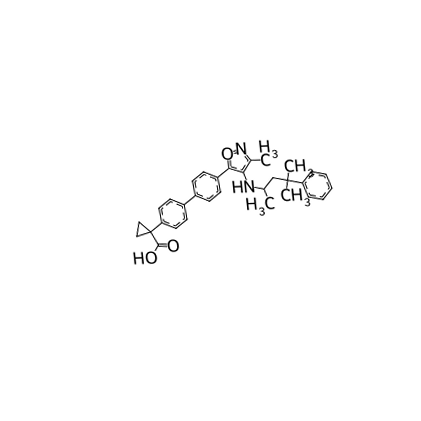 Cc1noc(-c2ccc(-c3ccc(C4(C(=O)O)CC4)cc3)cc2)c1NC(C)CC(C)(C)c1ccccc1